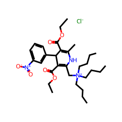 CCCC[N+](CCCC)(CCCC)CC1=C(C(=O)OCC)C(c2cccc([N+](=O)[O-])c2)C(C(=O)OCC)=C(C)N1.[Cl-]